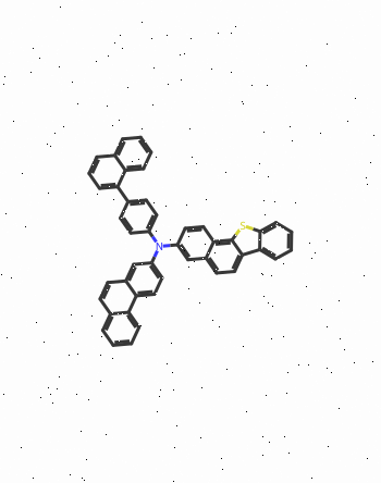 c1ccc2c(-c3ccc(N(c4ccc5c(ccc6ccccc65)c4)c4ccc5c(ccc6c7ccccc7sc56)c4)cc3)cccc2c1